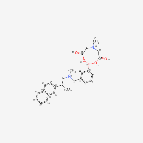 CC(=O)OC(CN(C)Cc1cccc(B2OC(=O)CN(C)CC(=O)O2)c1)c1ccc2ccccc2c1